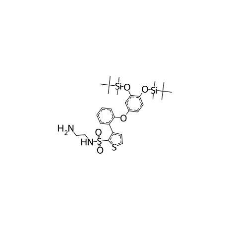 CC(C)(C)[Si](C)(C)Oc1ccc(Oc2ccccc2-c2ccsc2S(=O)(=O)NCCN)cc1O[Si](C)(C)C(C)(C)C